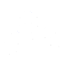 Cl.O=C(NCC1CCCCC1)C1(Cc2ccc(-c3ccccc3)cc2)CCNCC1